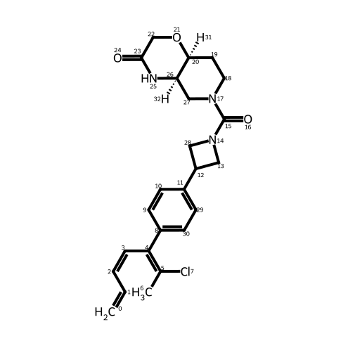 C=C/C=C\C(=C(/C)Cl)c1ccc(C2CN(C(=O)N3CC[C@@H]4OCC(=O)N[C@@H]4C3)C2)cc1